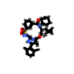 Cc1cccc(C)c1-c1nc2nc(c1C)OC[C@@H](CC1(C(F)(F)F)CC1)N(C1CCCCC1)C(=O)c1cccc(c1)S(=O)(=O)N2